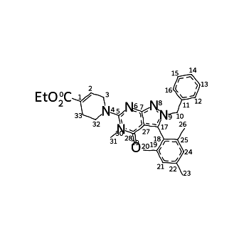 CCOC(=O)C1=CCN(c2nc3nn(Cc4ccccc4)c(-c4c(C)cc(C)cc4C)c3c(=O)n2C)CC1